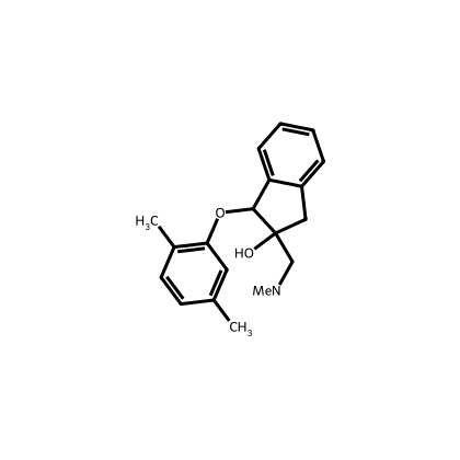 CNCC1(O)Cc2ccccc2C1Oc1cc(C)ccc1C